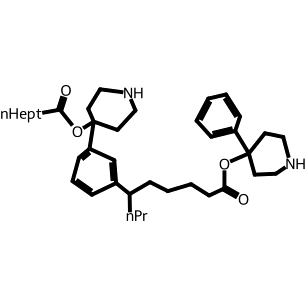 CCCCCCCC(=O)OC1(c2cccc(C(CCC)CCCCC(=O)OC3(c4ccccc4)CCNCC3)c2)CCNCC1